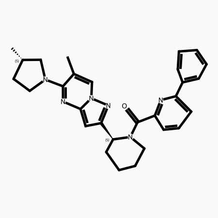 Cc1cn2nc([C@@H]3CCCCN3C(=O)c3cccc(-c4ccccc4)n3)cc2nc1N1CC[C@H](C)C1